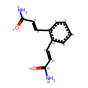 NC(=O)C=Cc1ccccc1C=CC(N)=O